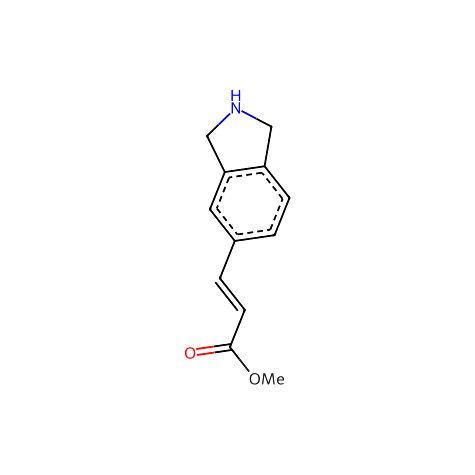 COC(=O)/C=C/c1ccc2c(c1)CNC2